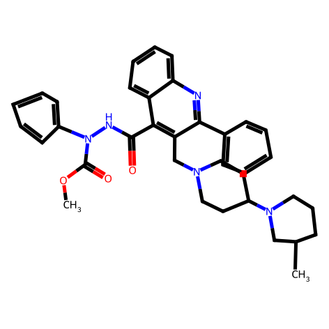 COC(=O)N(NC(=O)c1c(CN2CCC(N3CCCC(C)C3)CC2)c(-c2ccccc2)nc2ccccc12)c1ccccc1